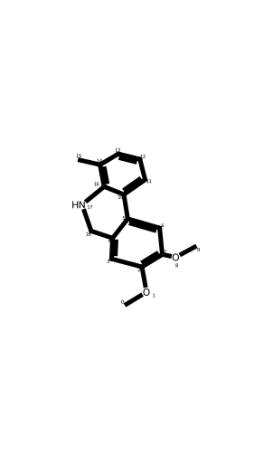 COc1cc2c(cc1OC)-c1cccc(C)c1NC2